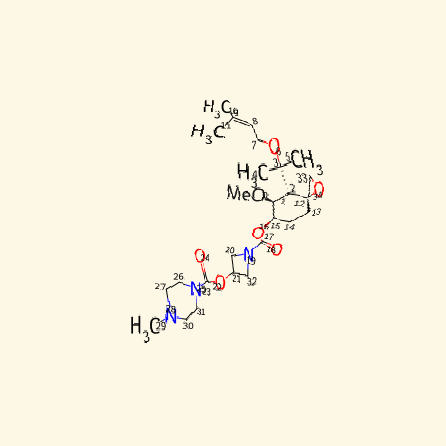 CO[C@H]1[C@H](C(C)(C)OCC=C(C)C)[C@]2(CC[C@H]1OC(=O)N1CC(OC(=O)N3CCN(C)CC3)C1)CO2